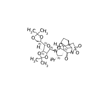 CC(C)[C@H]1C[C@@]2(ON1[C@@H]1O[C@@H]([C@H]3COC(C)(C)O3)[C@@H]3OC(C)(C)OC31)C(=O)N1C3CC4CC[C@]3(CS1(=O)=O)C42C